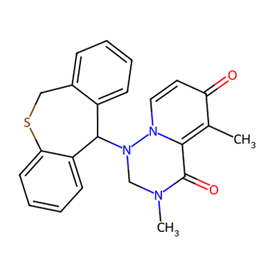 Cc1c2n(ccc1=O)N(C1c3ccccc3CSc3ccccc31)CN(C)C2=O